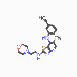 C#Cc1cccc(Nc2c(C#N)cnc3nc(NCCN4CCOCC4)sc23)c1